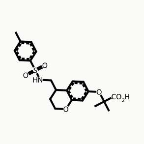 Cc1ccc(S(=O)(=O)NCC2CCOc3cc(OC(C)(C)C(=O)O)ccc32)cc1